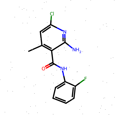 Cc1cc(Cl)nc(N)c1C(=O)Nc1ccccc1F